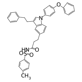 Cc1ccc(S(=O)(=O)NC(=O)CCc2ccc3c(c2)c(CCc2ccccc2)cn3-c2ccc(Oc3ccccc3)cc2)cc1